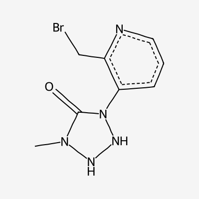 CN1NNN(c2cccnc2CBr)C1=O